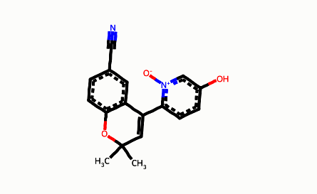 CC1(C)C=C(c2ccc(O)c[n+]2[O-])c2cc(C#N)ccc2O1